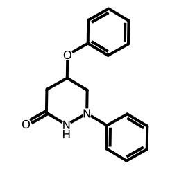 O=C1CC(Oc2ccccc2)CN(c2ccccc2)N1